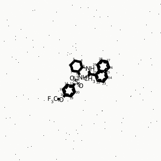 CC(N[C@H]1CCCCC1NS(=O)(=O)c1ccc(OC(F)(F)F)cc1)c1cccc2ccccc12